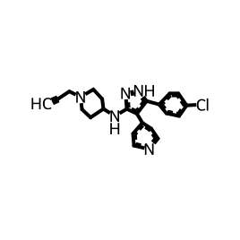 C#CCN1CCC(Nc2n[nH]c(-c3ccc(Cl)cc3)c2-c2ccncc2)CC1